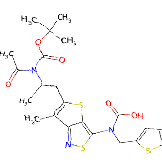 CC(=O)N(C(=O)OC(C)(C)C)C(C)Cc1sc2c(N(Cc3cccs3)C(=O)O)snc2c1C